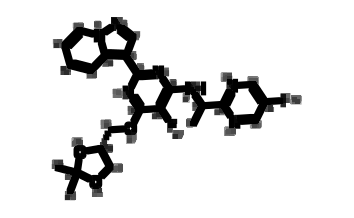 CC(Nc1nc(-c2cnn3ccccc23)nc(OC[C@@H]2COC(C)(C)O2)c1F)c1ncc(F)cn1